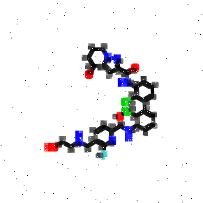 O=C(Nc1cccc(-c2cccc(NC(=O)c3cc4n(n3)CCCC4=O)c2Cl)c1Cl)c1ccc(CNCCO)c(F)n1